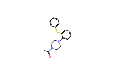 CC(=O)N1CCN(c2ccccc2Sc2ccccc2)CC1